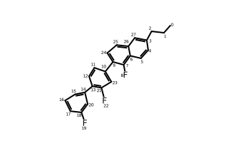 CCCc1ccc2c(F)c(-c3ccc(-c4cccc(F)c4)c(F)c3)ccc2c1